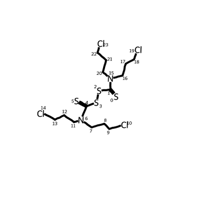 S=C(SSC(=S)N(CCCCl)CCCCl)N(CCCCl)CCCCl